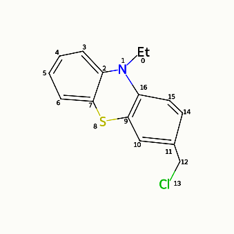 CCN1c2ccccc2Sc2cc(CCl)ccc21